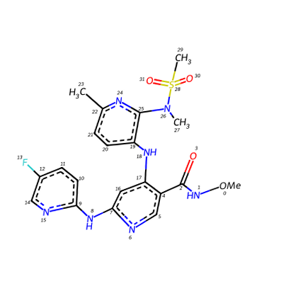 CONC(=O)c1cnc(Nc2ccc(F)cn2)cc1Nc1ccc(C)nc1N(C)S(C)(=O)=O